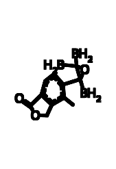 BC1(B)OC1(B)c1ccc2c(c1C)COC2=O